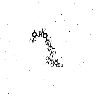 Cc1ccc(OC(F)F)c(Cn2c3cc(-c4cnc(N5CCN(C(=O)COC(=O)[C@@H](NC(=O)OC(C)(C)C)C(C)C)[C@H](C)C5)nc4)ccc3c(=O)n2C)c1